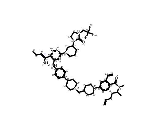 C=CCCC(C)N(C)C(=O)c1ccc(N2CCC(CN3CCC(c4ccc(Nc5nc(N6CCCC(N7CCN(CC(F)(F)F)C7=O)C6)nnc5/C(N)=C/CC)cc4)CC3)CC2)cc1C=C